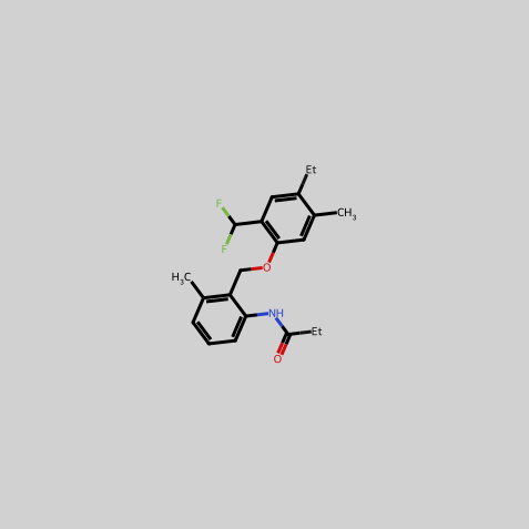 CCC(=O)Nc1cccc(C)c1COc1cc(C)c(CC)cc1C(F)F